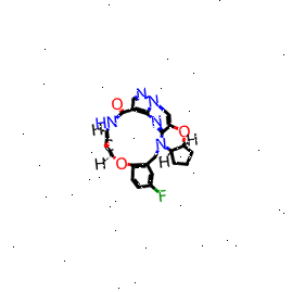 O=C1N[C@H]2C[C@H](C2)Oc2ccc(F)cc2CN2c3nc4c1cnn4cc3O[C@H]1CCC[C@H]12